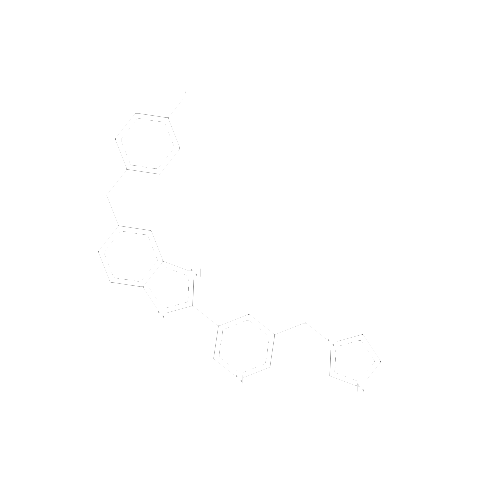 Clc1ccc(Cc2ccc3nc(-c4cncc(Cn5ccnc5)c4)[nH]c3c2)cc1